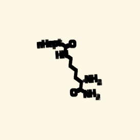 CCCCCCCC(=O)NCCCC[C@H](N)C(N)=O